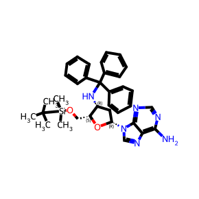 CC(C)(C)[Si](C)(C)OC[C@H]1O[C@@H](n2cnc3c(N)ncnc32)C[C@H]1NC(c1ccccc1)(c1ccccc1)c1ccccc1